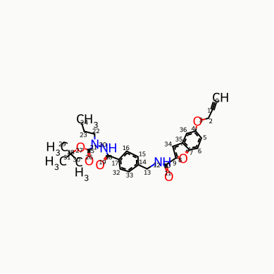 C#CCOc1ccc2oc(C(=O)NCc3ccc(C(=O)NN(CCC)C(=O)OC(C)(C)C)cc3)cc2c1